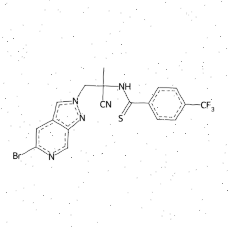 CC(C#N)(Cn1cc2cc(Br)ncc2n1)NC(=S)c1ccc(C(F)(F)F)cc1